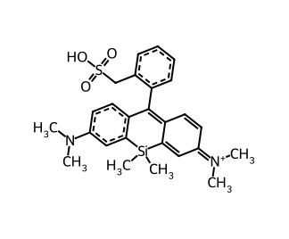 CN(C)c1ccc2c(c1)[Si](C)(C)C1=CC(=[N+](C)C)C=CC1=C2c1ccccc1CS(=O)(=O)O